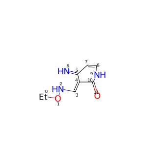 CCON/C=C1\C(=N)C=CNC1=O